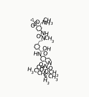 CNCc1cc(NC(=O)N(C)CCc2cccc(C(Nc3ccc4c(N(C(=O)OC(C)(C)C)C(=O)OC(C)(C)C)nccc4c3)C(=O)O)c2)ccc1S(=O)(=O)C1CC1